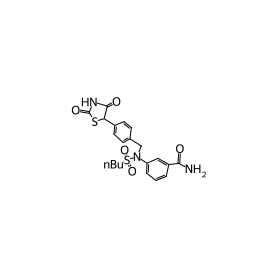 CCCCS(=O)(=O)N(Cc1ccc(C2SC(=O)NC2=O)cc1)c1cccc(C(N)=O)c1